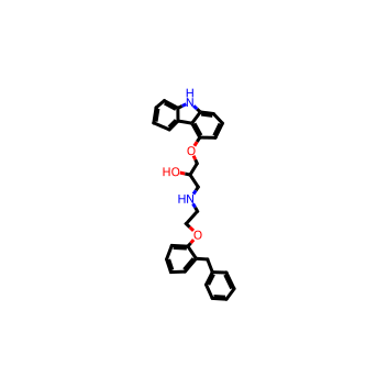 OC(CNCCOc1ccccc1Cc1ccccc1)COc1cccc2[nH]c3ccccc3c12